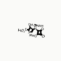 CNC.COc1c(Nc2csc(C(=O)O)c2O)c(=O)c1=O